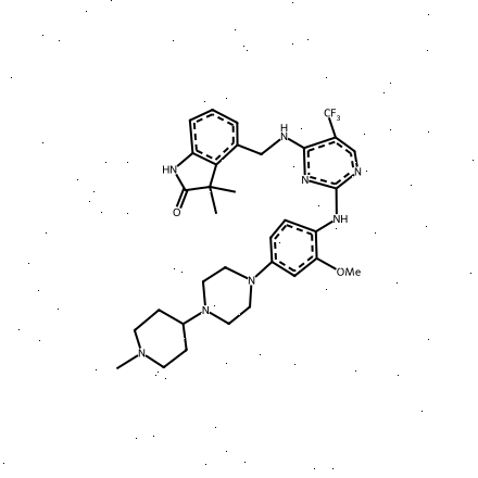 COc1cc(N2CCN(C3CCN(C)CC3)CC2)ccc1Nc1ncc(C(F)(F)F)c(NCc2cccc3c2C(C)(C)C(=O)N3)n1